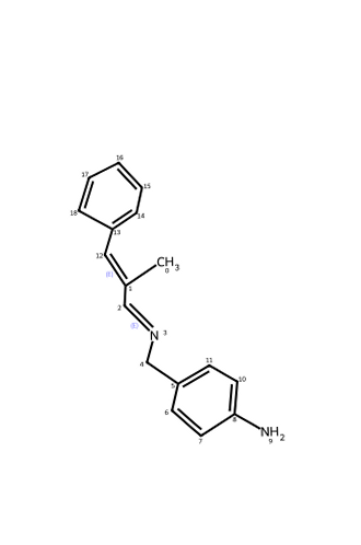 CC(/C=N/Cc1ccc(N)cc1)=C\c1ccccc1